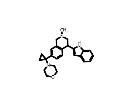 CN1Cc2cc(C3(N4CCOCC4)CC3)ccc2C(c2cc3ccccc3[nH]2)C1